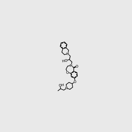 CC(O)CN1CCC(Oc2ccc3c(c2)OCCN(CC(O)CN2CCc4ccccc4C2)C3=O)CC1